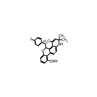 COc1cccc2c1-c1ccc3c(c1C(Cc1ccc(F)cc1)O2)C(C)=CC(C)(C)N3